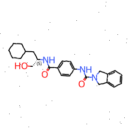 O=C(N[C@H](CO)CC1CCCCC1)c1ccc(NC(=O)N2Cc3ccccc3C2)cc1